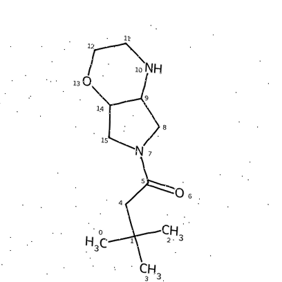 CC(C)(C)CC(=O)N1CC2NCCOC2C1